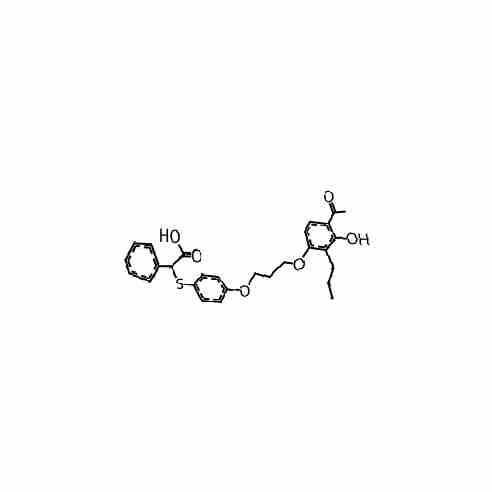 CCCc1c(OCCCOc2ccc(SC(C(=O)O)c3ccccc3)cc2)ccc(C(C)=O)c1O